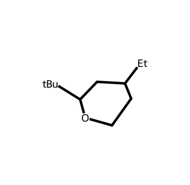 [CH2]CC1CCOC(C(C)(C)C)C1